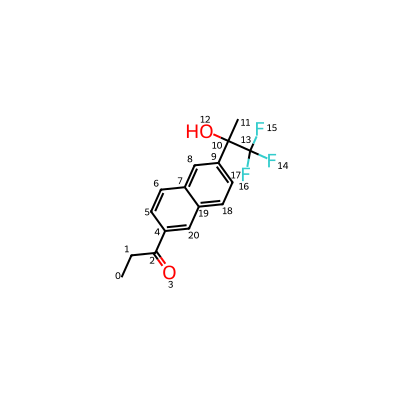 CCC(=O)c1ccc2cc(C(C)(O)C(F)(F)F)ccc2c1